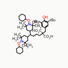 CC(C)(C)c1cc(CC(CCCC(C2CC(C)(C)N(OC3CCCCC3)C(C)(C)C2)C2CC(C)(C)N(OC3CCCCC3)C(C)(C)C2)(C(=O)O)C(=O)O)cc(C(C)(C)C)c1O